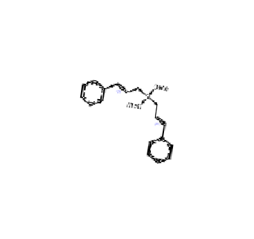 CO[Si](C/C=C/c1ccccc1)(C/C=C/c1ccccc1)OC